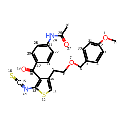 COc1ccc(COCCc2csc(N=C=S)c2C(=O)c2ccc(NC(C)=O)cc2)cc1